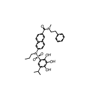 CCCN(c1ccc2cc(C(=O)N(C)CCc3ccccc3)ccc2c1)S(=O)(=O)c1cc(C(C)C)c(O)c(O)c1O